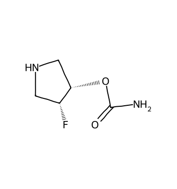 NC(=O)O[C@H]1CNC[C@H]1F